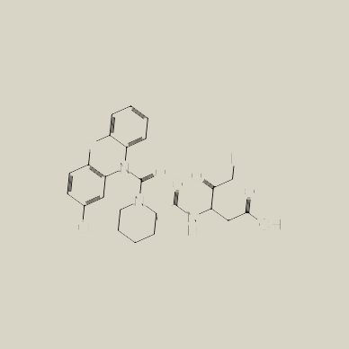 O=C(O)CC(NC(=O)[C@@H]1CCCCN1C(=O)N1c2ccccc2Sc2ccc(Cl)cc21)C(=O)CF